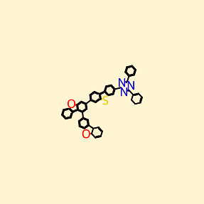 C1=CCCC(c2nc(-c3ccccc3)nc(-c3ccc4c(c3)sc3cc(-c5cc(-c6ccc7c(c6)C6C=CC=CC6O7)c6c(c5)oc5ccccc56)ccc34)n2)=C1